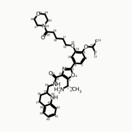 C[C@H](N)c1oc(-c2ccc(OC(F)F)c(OCCCCC(=O)N3CCOCC3)c2)nc1C(=O)NCC1CCc2ccccc2N1